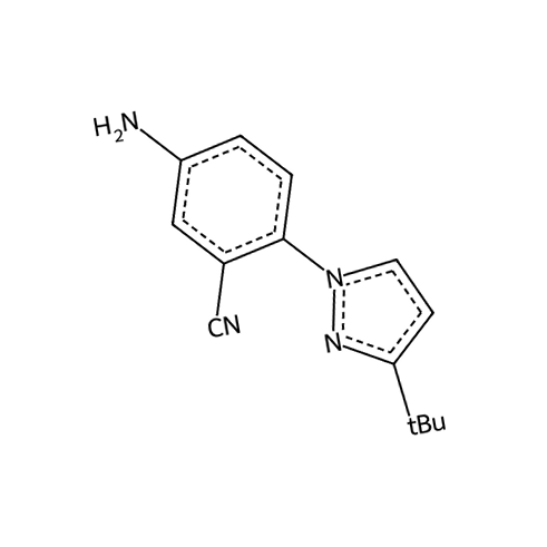 CC(C)(C)c1ccn(-c2ccc(N)cc2C#N)n1